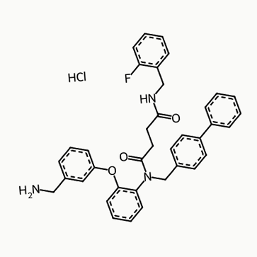 Cl.NCc1cccc(Oc2ccccc2N(Cc2ccc(-c3ccccc3)cc2)C(=O)CCC(=O)NCc2ccccc2F)c1